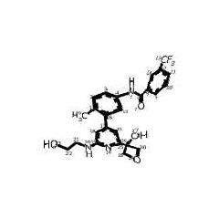 Cc1ccc(NC(=O)c2cccc(C(F)(F)F)c2)cc1-c1cc(NCCO)nc(C2(O)COC2)c1